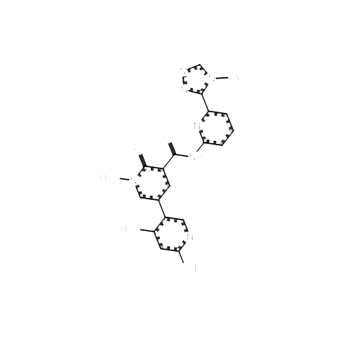 Cc1cc(C)c(-c2cc(C(=O)Nc3cccc(-c4nncn4C(C)C)n3)c(=O)n(C)c2)cn1